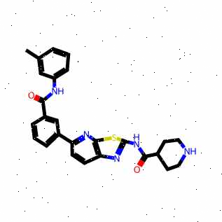 Cc1cccc(NC(=O)c2cccc(-c3ccc4nc(NC(=O)C5CCNCC5)sc4n3)c2)c1